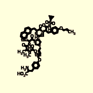 C=CCOc1ccc(CC(NC(=O)C(Cc2ccc3ccccc3c2)NC(=O)[C@@H]2C[C@H](CC=CCOc3ccc(CC(N)C(=O)O)cc3)CN2C(=O)C(NC(=O)C(C)N(C)C(=O)OC(C)(C)C)C(C)(C)C)C(=O)NS(=O)(=O)C2CC2)cc1